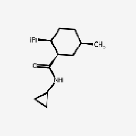 CC(C)[C@H]1CC[C@@H](C)C[C@H]1C(=O)NC1CC1